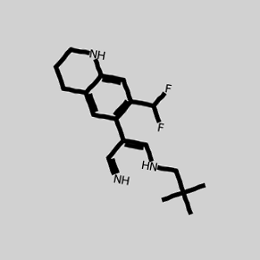 CC(C)(C)CN/C=C(\C=N)c1cc2c(cc1C(F)F)NCCC2